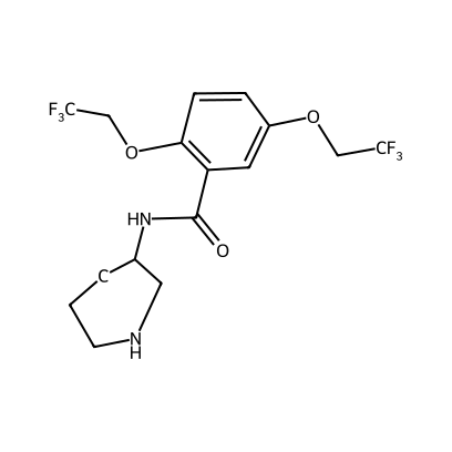 O=C(NC1CCCNC1)c1cc(OCC(F)(F)F)ccc1OCC(F)(F)F